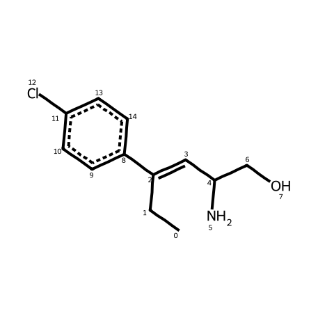 CCC(=CC(N)CO)c1ccc(Cl)cc1